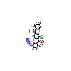 Cc1cc(F)ccc1Nc1ccc(C(=O)c2cc(N=[N+]=[N-])ccc2C)c(Cl)c1